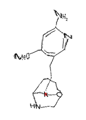 COc1cc(N)ncc1N1CC2CCC(C1)NC2